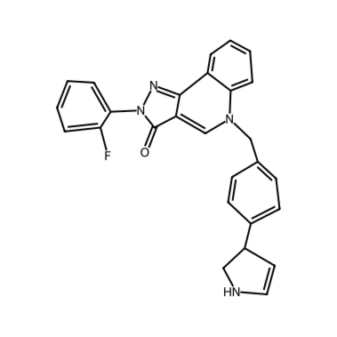 O=c1c2cn(Cc3ccc(C4C=CNC4)cc3)c3ccccc3c-2nn1-c1ccccc1F